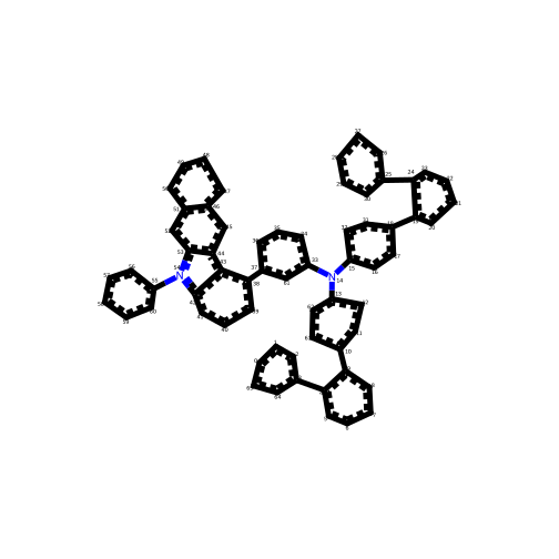 c1ccc(-c2ccccc2-c2ccc(N(c3ccc(-c4ccccc4-c4ccccc4)cc3)c3cccc(-c4cccc5c4c4cc6ccccc6cc4n5-c4ccccc4)c3)cc2)cc1